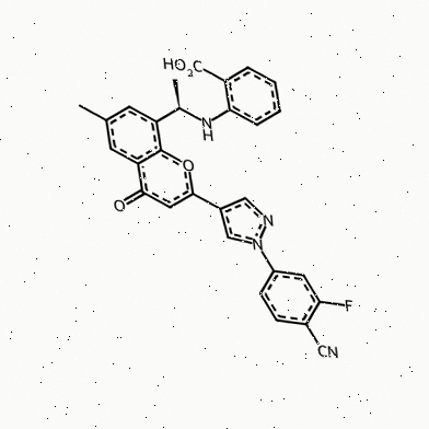 Cc1cc([C@@H](C)Nc2ccccc2C(=O)O)c2oc(-c3cnn(-c4ccc(C#N)c(F)c4)c3)cc(=O)c2c1